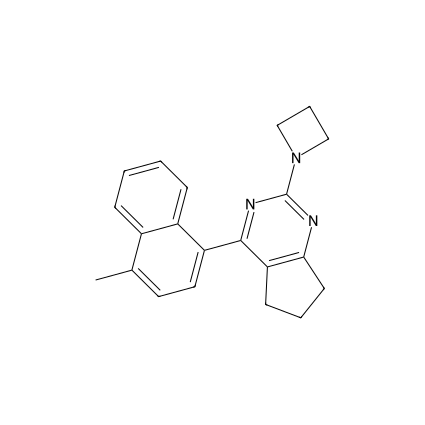 Cc1ccc(-c2nc(N3CCC3)nc3c2CCC3)c2ccccc12